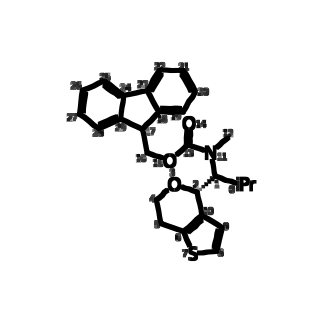 CC(C)C([C@H]1OCCc2sccc21)N(C)C(=O)OCC1c2ccccc2-c2ccccc21